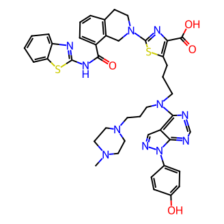 CN1CCN(CCCN(CCCc2sc(N3CCc4cccc(C(=O)Nc5nc6ccccc6s5)c4C3)nc2C(=O)O)c2ncnc3c2cnn3-c2ccc(O)cc2)CC1